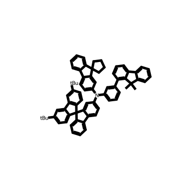 CC(C)(C)c1ccc2c(c1)-c1cc(C(C)(C)C)ccc1C21c2ccccc2-c2ccc(N(c3cccc(-c4cccc5c4C(C)(C)c4ccccc4-5)c3)c3ccc4c(c3)C3(CCCC3)c3ccccc3-4)cc21